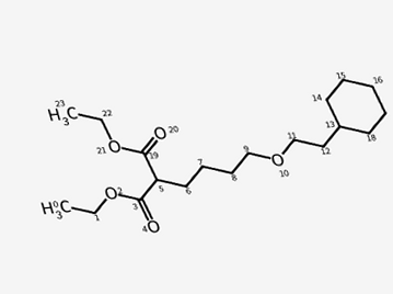 CCOC(=O)C(CCCCOCCC1CCCCC1)C(=O)OCC